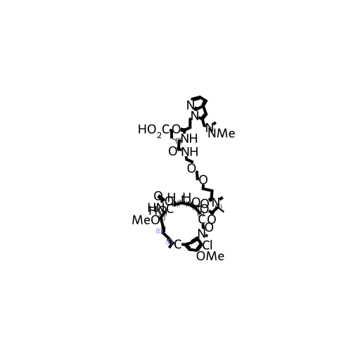 CNN(C)Cc1cc2cccnc2n1CCC(=O)N[C@@H](CCC(=O)O)C(=O)NCCOCCOCCC(=O)N(C)[C@@H](C)C(=O)O[C@H]1CC(=O)N(C)c2cc(cc(OC)c2Cl)C/C(C)=C/C=C/[C@@H](OC)[C@@]2(O)C[C@H](OC(=O)N2)[C@@H](C)[C@@H]2O[C@]12C